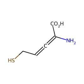 NC(=C=CCS)C(=O)O